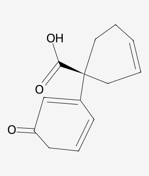 O=C1C=C([C@@]2(C(=O)O)CC=CCC2)C=CC1